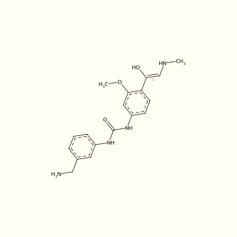 CN/C=C(\O)c1ccc(NC(=O)Nc2cccc(CN)c2)cc1OC